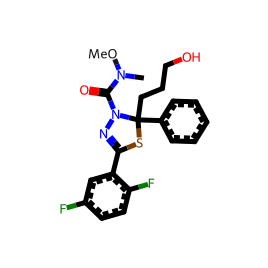 CON(C)C(=O)N1N=C(c2cc(F)ccc2F)SC1(CCCO)c1ccccc1